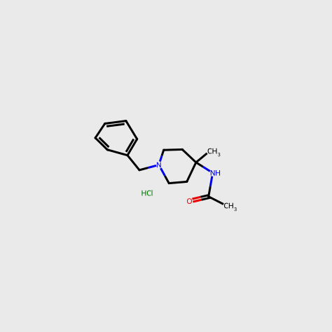 CC(=O)NC1(C)CCN(Cc2ccccc2)CC1.Cl